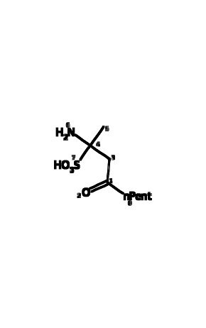 CCCCCC(=O)CC(C)(N)S(=O)(=O)O